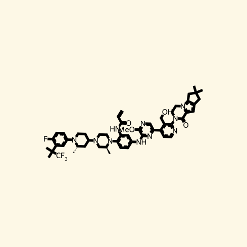 C=CC(=O)Nc1cc(Nc2nc(-c3ccnc(N4CCn5c(cc6c5CC(C)(C)C6)C4=O)c3CO)cnc2OC)ccc1N1CCN(C2CCN(c3ccc(F)c(C(C)(C)C(F)(F)F)c3)[C@@H](C)C2)C[C@@H]1C